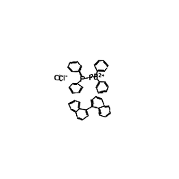 [Cl-].[Cl-].c1ccc([P]([Pd+2][P](c2ccccc2)c2ccccc2)c2ccccc2)cc1.c1ccc2c(-c3cccc4ccccc34)cccc2c1